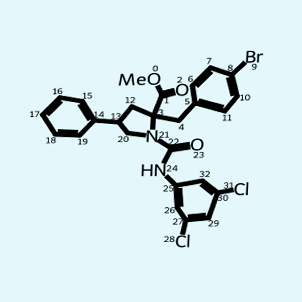 COC(=O)C1(Cc2ccc(Br)cc2)CC(c2ccccc2)CN1C(=O)Nc1cc(Cl)cc(Cl)c1